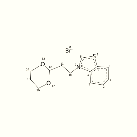 [Br-].c1ccc2c(c1)sc[n+]2CCC1OCCCO1